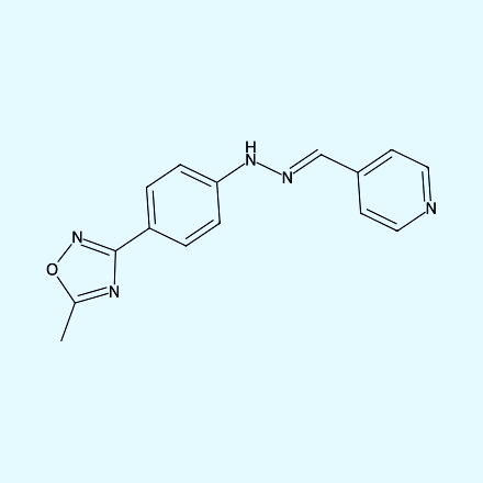 Cc1nc(-c2ccc(NN=Cc3ccncc3)cc2)no1